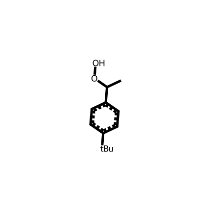 CC(OO)c1ccc(C(C)(C)C)cc1